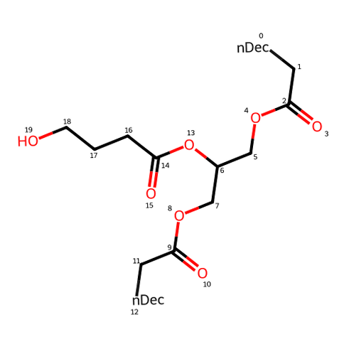 CCCCCCCCCCCC(=O)OCC(COC(=O)CCCCCCCCCCC)OC(=O)CCCO